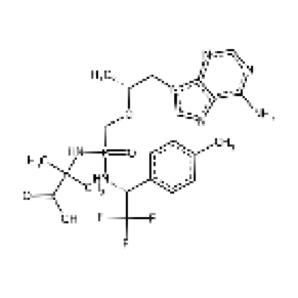 Cc1ccc([C@@H](NP(=O)(CO[C@H](C)Cn2cnc3c(N)ncnc32)NC(C)(C)C(=O)O)C(F)(F)F)cc1